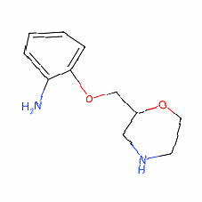 Nc1ccccc1OCC1CNCCO1